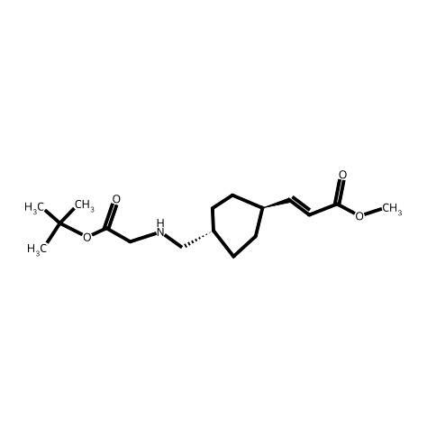 COC(=O)/C=C/[C@H]1CC[C@H](CNCC(=O)OC(C)(C)C)CC1